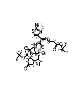 C[C@H]1[C@@H]2CC(=O)O[C@]2(C(=O)OC(C)(C)C)N2C(=O)[C@@H](NC(=O)/C(=N\OCC(=O)OC(C)(C)C)c3csc(N)n3)[C@H]2[S+]1[O-]